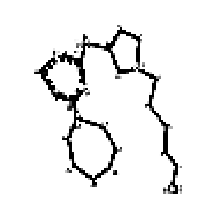 OCCCCCN1CCC(Nc2nccc(N3CCCCCC3)n2)C1